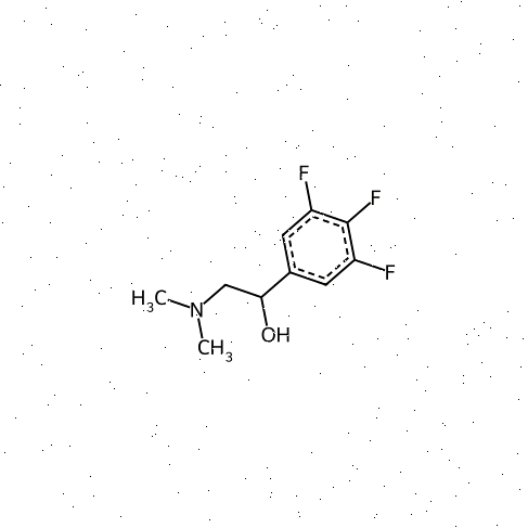 CN(C)CC(O)c1cc(F)c(F)c(F)c1